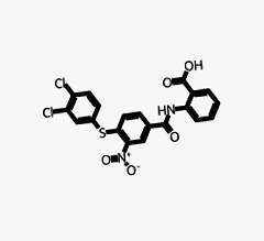 O=C(Nc1ccccc1C(=O)O)c1ccc(Sc2ccc(Cl)c(Cl)c2)c([N+](=O)[O-])c1